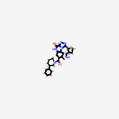 Cc1cc2c(cc1C(=O)N1CCCC(c3ccccc3)C1)[nH]c(=O)c1nnc(-c3sccc3C=N)n12